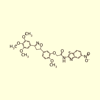 COc1ccc(C2CC(c3cc(OC)c(OC)c(OC)c3)=NO2)cc1OCC(=O)Nc1nc2cc([N+](=O)[O-])ccc2s1